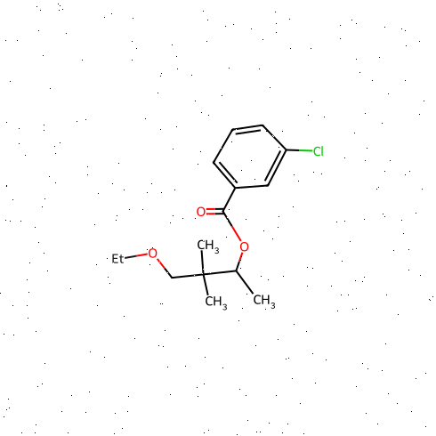 CCOCC(C)(C)C(C)OC(=O)c1cccc(Cl)c1